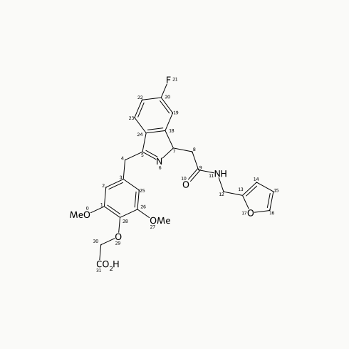 COc1cc(CC2=NC(CC(=O)NCc3ccco3)c3cc(F)ccc32)cc(OC)c1OCC(=O)O